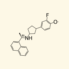 C[C@@H](NC1CCC(c2ccc([O])c(F)c2)C1)c1cccc2ccccc12